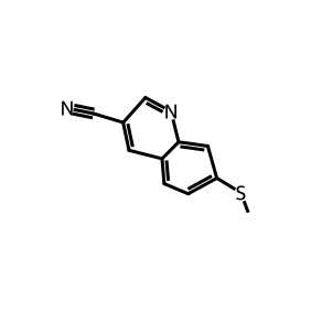 CSc1ccc2cc(C#N)cnc2c1